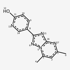 Cc1cc(C)n2nc(-c3ccc(O)nc3)nc2n1